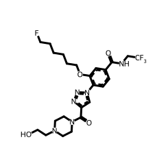 O=C(NCC(F)(F)F)c1ccc(-n2cc(C(=O)N3CCN(CCO)CC3)nn2)c(OCCCCCCF)c1